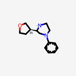 c1ccc(N2CC[N]C([C@H]3CCOC3)C2)cc1